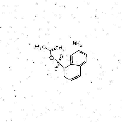 C=C(C)OS(=O)(=O)c1cccc2ccccc12.N